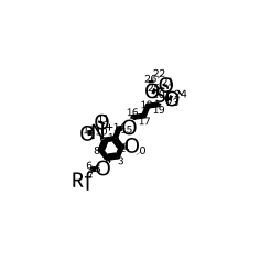 COc1cc(O[CH2][Rf])cc([N+](=O)[O-])c1COCCCC[Si](OC)(OC)OC